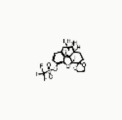 CN1CC[C@]23c4c5ccc(OS(=O)(=O)C(F)(F)F)c4O[C@H]2C2(CC[C@H]3[C@H]1C5)OCCO2